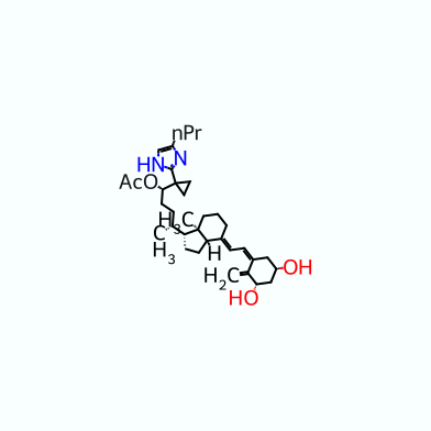 C=C1/C(=C\C=C2/CCC[C@]3(C)[C@@H]([C@H](C)CC[C@@H](OC(C)=O)C4(c5nc(CCC)c[nH]5)CC4)CC[C@@H]23)C[C@@H](O)C[C@@H]1O